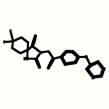 O=C(CN1C(=O)NC2(CCC(F)(F)CC2)C1=O)c1ccc(Oc2cncnc2)cc1